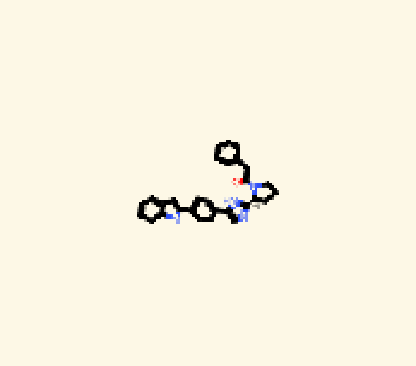 O=C(Cc1ccccc1)N1CCC[C@H]1c1ncc(C2=CC=C(C3=CC4=CC=CCC4N3)CC2)[nH]1